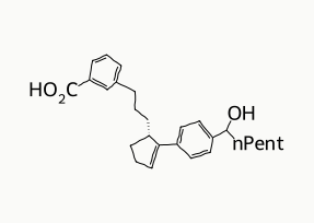 CCCCCC(O)c1ccc(C2=CCC[C@@H]2CCCc2cccc(C(=O)O)c2)cc1